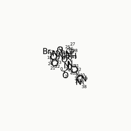 CC(=O)c1nn(CC(=O)N2[C@H](C(=O)Nc3nc(Br)cc4ccccc34)C[C@@]3(C)C[C@@H]23)c2ccc(-c3cnc(C)nc3)cc12